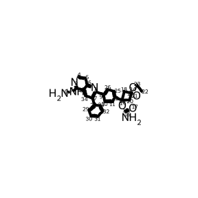 NNc1nccc2nc(-c3ccc(C4(OC(N)=O)CC5(C4)OCCO5)cc3)c(-c3ccccc3)cc12